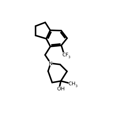 CC1(O)CCN(Cc2c(C(F)(F)F)ccc3c2CCC3)CC1